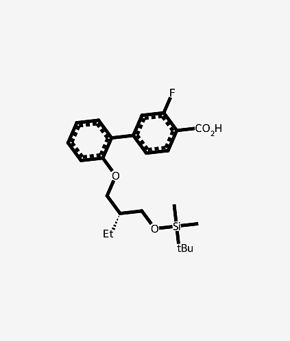 CC[C@H](COc1ccccc1-c1ccc(C(=O)O)c(F)c1)CO[Si](C)(C)C(C)(C)C